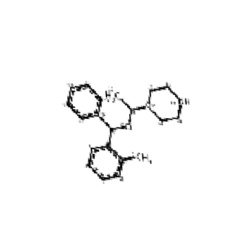 Cc1ccccc1C(OC(C)N1CCNCC1)c1ccccc1